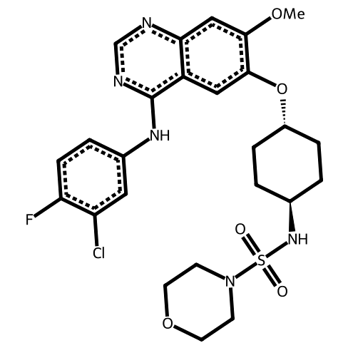 COc1cc2ncnc(Nc3ccc(F)c(Cl)c3)c2cc1O[C@H]1CC[C@H](NS(=O)(=O)N2CCOCC2)CC1